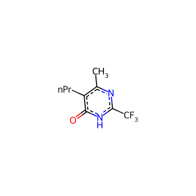 CCCc1c(C)nc(C(F)(F)F)[nH]c1=O